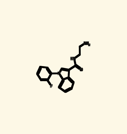 NCCNC(=O)c1cn(-c2ccccc2F)c2ccccc12